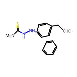 CNC(=S)NN.O=CCc1ccccc1.c1ccccc1